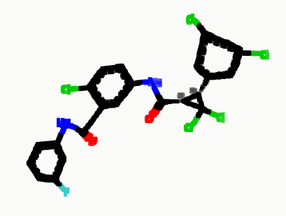 O=C(Nc1cccc(F)c1)c1cc(NC(=O)[C@H]2[C@H](c3cc(Cl)cc(Cl)c3)C2(Cl)Cl)ccc1Cl